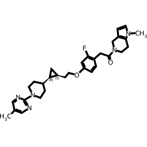 Cc1cnc(N2CCC([C@H]3C[C@H]3CCOc3ccc(CC(=O)N4CCc5c(ccn5C)C4)c(F)c3)CC2)nc1